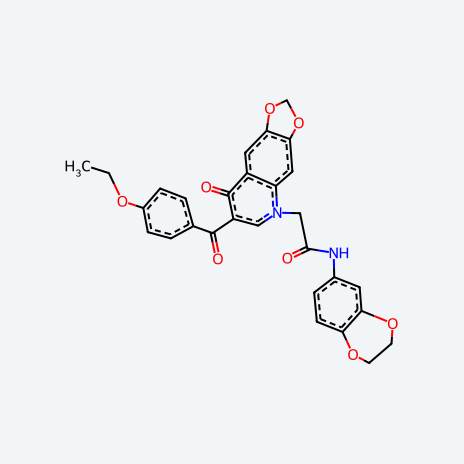 CCOc1ccc(C(=O)c2cn(CC(=O)Nc3ccc4c(c3)OCCO4)c3cc4c(cc3c2=O)OCO4)cc1